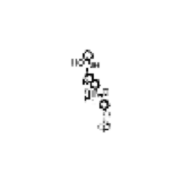 Cc1c(NC(=O)c2ccc(OC[C@@H]3CCCO3)cc2)ccc2cc(CN[C@H]3CCCC[C@@H]3O)cnc12